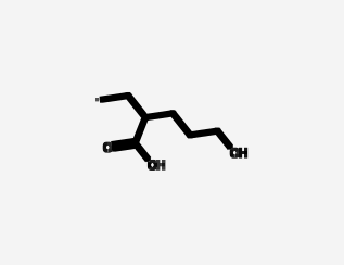 [CH2]CC(CCCO)C(=O)O